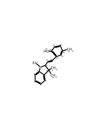 CCN1c2ccccc2C(C)(C)C1C=Cc1cc(C)ccc1O